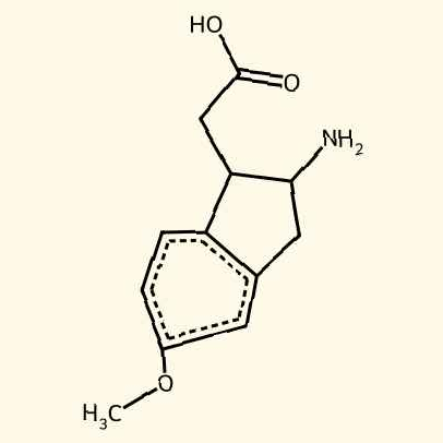 COc1ccc2c(c1)CC(N)C2CC(=O)O